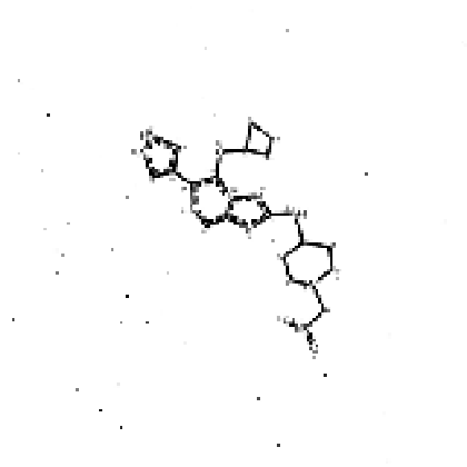 O=[SH](=O)CN1CCC(Nc2nc3cnc(-c4cn[nH]c4)c(OC4CCC4)n3n2)CC1